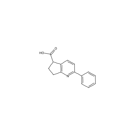 O=C(O)C1CCc2nc(-c3ccccc3)ccc21